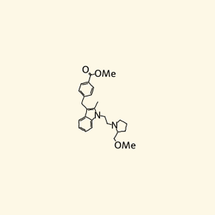 COCC1CCCN1CCn1c(C)c(Cc2ccc(C(=O)OC)cc2)c2ccccc21